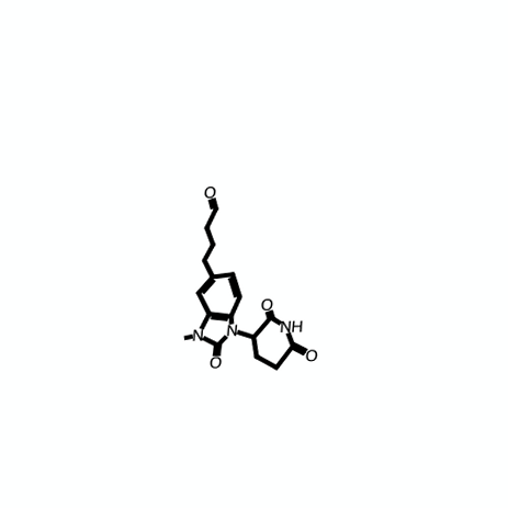 Cn1c(=O)n(C2CCC(=O)NC2=O)c2ccc(CCCC=O)cc21